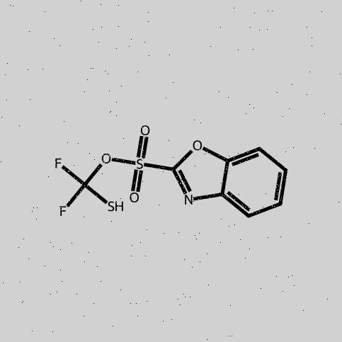 O=S(=O)(OC(F)(F)S)c1nc2ccccc2o1